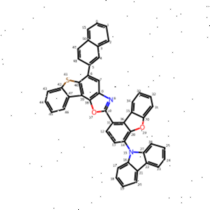 c1ccc2cc(-c3cc4nc(-c5ccc(-n6c7ccccc7c7ccccc76)c6oc7ccccc7c56)oc4c4c3sc3ccccc34)ccc2c1